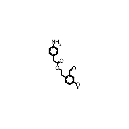 COc1ccc(CCOC(=O)Cc2ccc(N)cc2)c(C=O)c1